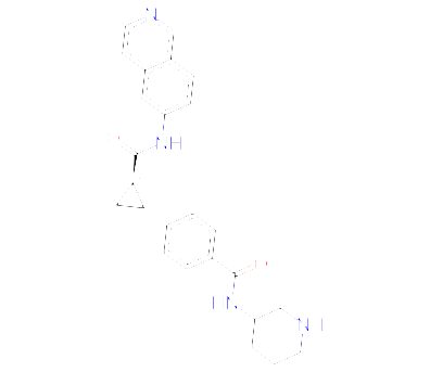 O=C(NC1CCCNC1)c1ccc([C@@H]2C[C@H]2C(=O)Nc2ccc3cnccc3c2)cc1